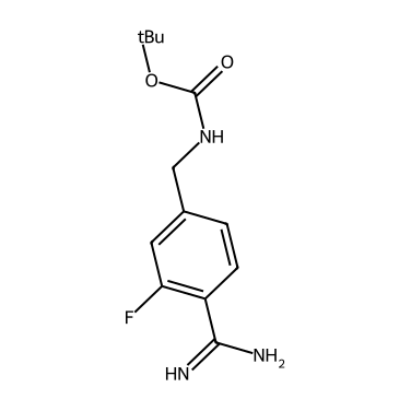 CC(C)(C)OC(=O)NCc1ccc(C(=N)N)c(F)c1